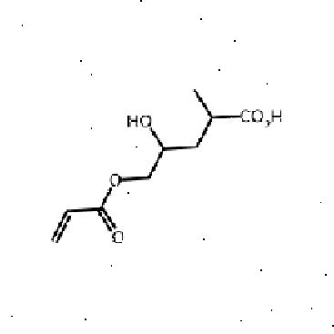 C=CC(=O)OCC(O)CC(C)C(=O)O